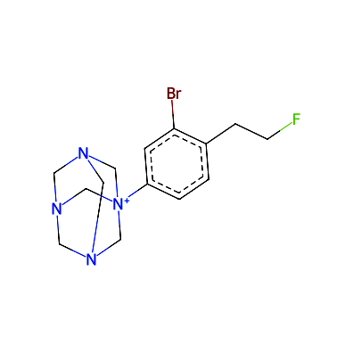 FCCc1ccc([N+]23CN4CN(CN(C4)C2)C3)cc1Br